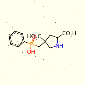 O=C(O)C1CC(CP(=O)(O)c2ccccc2)(C(=O)O)CN1